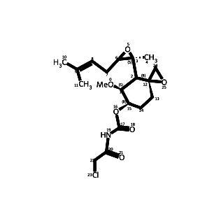 CO[C@H]1C([C@]2(C)OC2CC=C(C)C)[C@]2(CC[C@H]1OC(=O)NC(=O)CCl)CO2